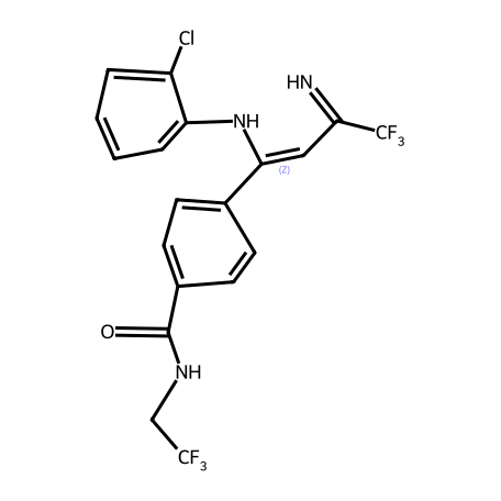 N=C(/C=C(\Nc1ccccc1Cl)c1ccc(C(=O)NCC(F)(F)F)cc1)C(F)(F)F